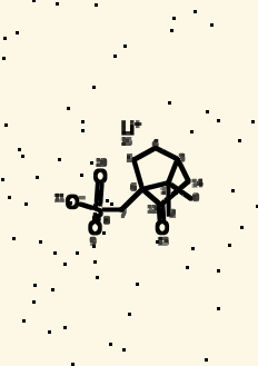 CC1(C)C2CCC1(CS(=O)(=O)[O-])C(=O)C2.[Li+]